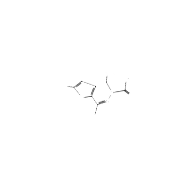 CCN(/N=C(/C)c1ccc(C)o1)C(=O)O